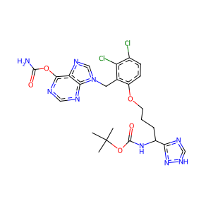 CC(C)(C)OC(=O)NC(CCCOc1ccc(Cl)c(Cl)c1Cn1cnc2c(OC(N)=O)ncnc21)c1nc[nH]n1